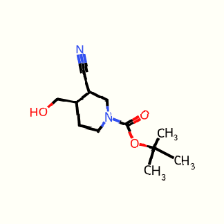 CC(C)(C)OC(=O)N1CCC(CO)C(C#N)C1